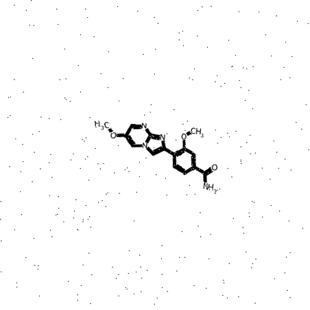 COc1cnc2nc(-c3ccc(C(N)=O)cc3OC)cn2c1